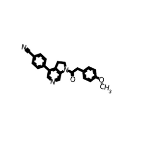 COc1ccc(CC(=O)N2CCc3c(-c4ccc(C#N)cc4)cncc32)cc1